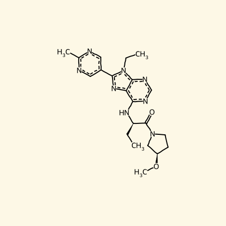 CC[C@@H](Nc1ncnc2c1nc(-c1cnc(C)nc1)n2CC)C(=O)N1CC[C@@H](OC)C1